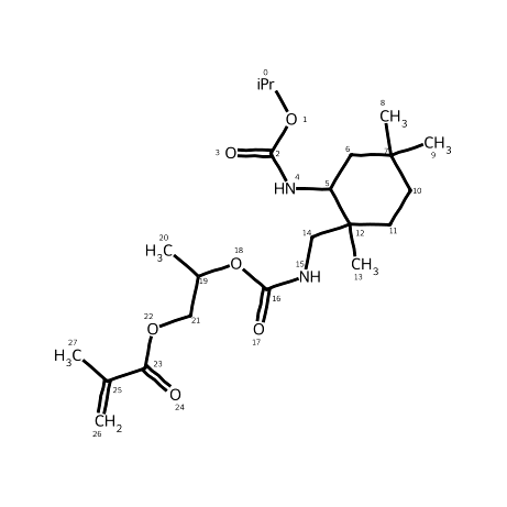 [CH2]C([CH2])OC(=O)NC1CC(C)(C)CCC1(C)CNC(=O)OC(C)COC(=O)C(=C)C